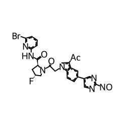 CC(=O)c1cn(CC(=O)N2C[C@H](F)C[C@H]2C(=O)Nc2cccc(Br)n2)c2ccc(-c3cnc(N=O)nc3)cc12